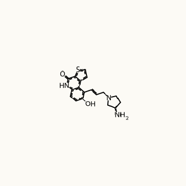 NC1CCN(CC=Cc2c(O)ccc3[nH]c(=O)c4sccc4c23)C1